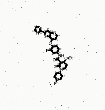 CCOc1ccn(-c2ccc(F)cc2)c(=O)c1C(=O)Nc1ccc(Oc2ccnc3cc(-c4nccs4)sc23)c(F)c1